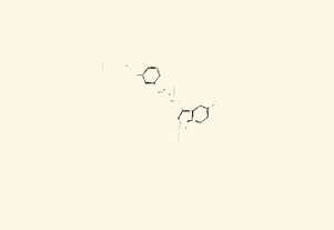 Fc1ccc2[nH]cc(CCNCc3cccc(OCC(F)(F)F)c3)c2c1